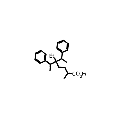 CCC(CCC(C)C(=O)O)(C(C)c1ccccc1)C(C)c1ccccc1